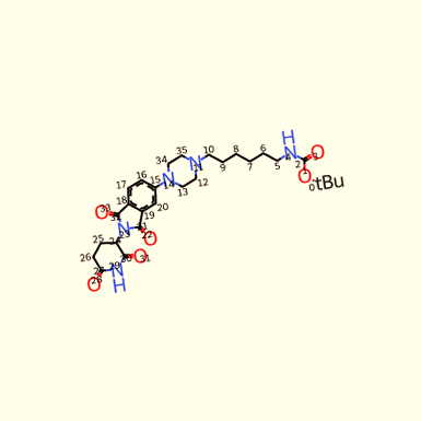 CC(C)(C)OC(=O)NCCCCCCN1CCN(c2ccc3c(c2)C(=O)N(C2CCC(=O)NC2=O)C3=O)CC1